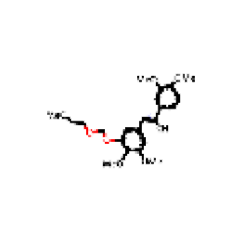 COCCOCOc1cc(/C=C(\C#N)c2ccc(OC)c(OC)c2)cc(OC)c1OC